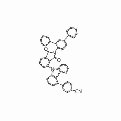 N#Cc1ccc(-c2cccc3c2c2ccccc2n3-c2cccc3c2C(=O)N(c2ccc(-c4ccccc4)cc2-c2ccccc2)C3=O)cc1